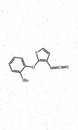 CC(C)(C)c1ccccc1Oc1sccc1N=C=S